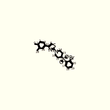 Cc1ccc(-c2csc(N3CCC(S(=O)(=O)c4ccccc4Br)CC3)n2)cc1C